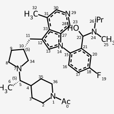 CC(=O)N1CCC([C@H](C)N2CC[C@H](Cc3cn(-c4ccc(F)cc4C(O)N(C)C(C)C)c4cncc(C)c34)C2)CC1